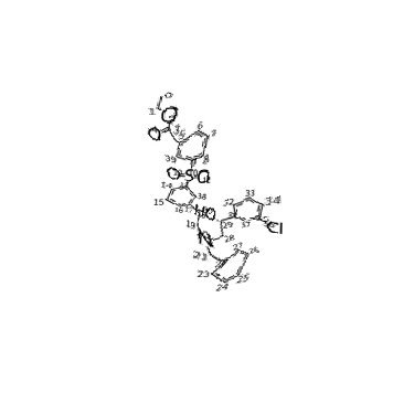 CCOC(=O)c1cccc(S(=O)(=O)c2cccc(CCN(Cc3ccccc3)C[C@H](O)c3cccc(Cl)c3)c2)c1